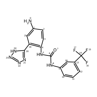 Nc1ccc(NC(=O)Nc2cccc(C(F)(F)F)c2)c(-c2nnn[nH]2)c1